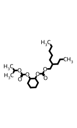 CCCCCC(CCC)COC(=O)OC1CCCCC1OC(=O)OC(C)C